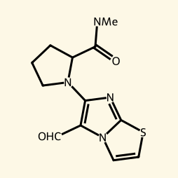 CNC(=O)C1CCCN1c1nc2sccn2c1C=O